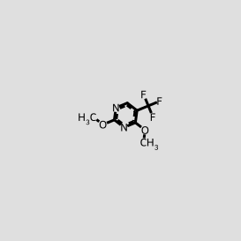 COc1ncc(C(F)(F)F)c(OC)n1